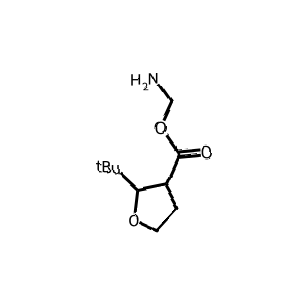 CC(C)(C)C1OCCC1C(=O)OCN